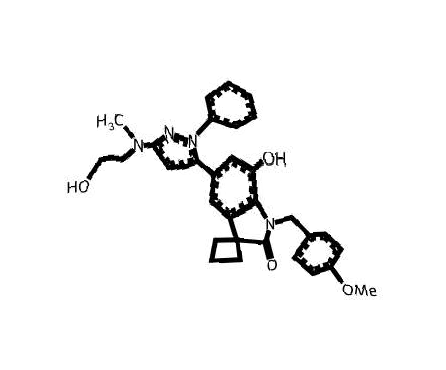 COc1ccc(CN2C(=O)C3(CCC3)c3cc(-c4cc(N(C)CCO)nn4-c4ccccc4)cc(O)c32)cc1